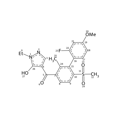 CCn1ncc(C(=O)c2ccc(S(C)(=O)=O)c(-c3ccc(OC)cc3F)c2C)c1O